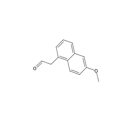 COc1ccc2c(CC=O)cccc2c1